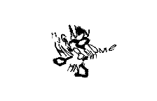 COc1cc2ncnc(N(C)C(=O)NCc3ccccc3)c2cc1NC(=O)[C@@H]1CCCN1